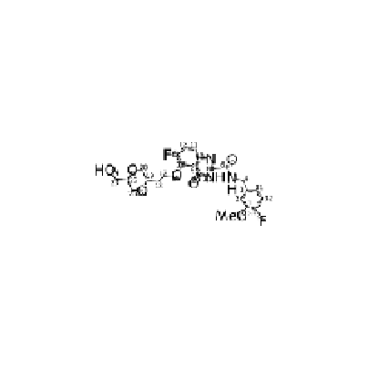 COc1cc(CNC(=O)c2nc3ccc(F)c(OCCC4COC(CO)CO4)c3c(=O)[nH]2)ccc1F